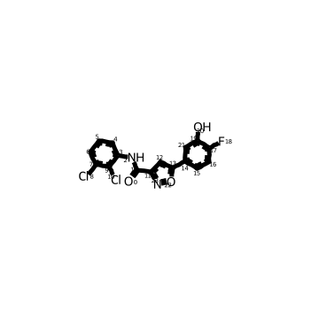 O=C(Nc1cccc(Cl)c1Cl)c1cc(-c2ccc(F)c(O)c2)on1